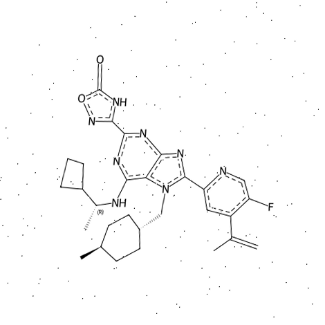 C=C(C)c1cc(-c2nc3nc(-c4noc(=O)[nH]4)nc(N[C@H](C)C4CCC4)c3n2C[C@H]2CC[C@H](C)CC2)ncc1F